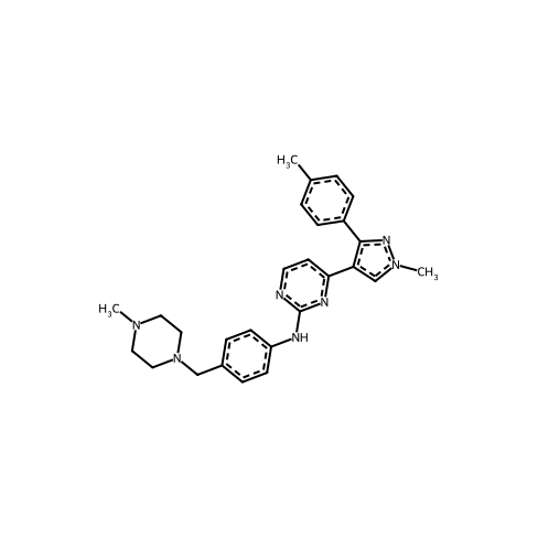 Cc1ccc(-c2nn(C)cc2-c2ccnc(Nc3ccc(CN4CCN(C)CC4)cc3)n2)cc1